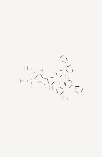 CC(C)(C)c1ccc(Nc2cc3c(cc2-c2ccc4c5c6c(ccc5n5c4c2Bc2cc4sc7ccccc7c4cc2-5)oc2ccccc26)-c2cc4c(cc2C3(C)C)C(C)(C)CCC4(C)C)cc1